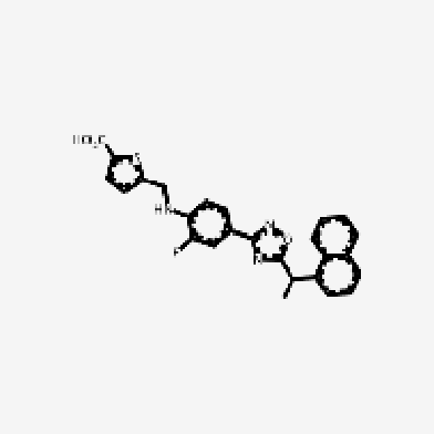 CC(c1nc(-c2ccc(NCc3ccc(C(=O)O)s3)c(F)c2)no1)c1cccc2ccccc12